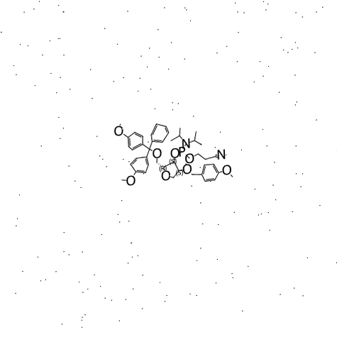 COc1ccc(CO[C@H]2CO[C@H](COC(c3ccccc3)(c3ccc(OC)cc3)c3ccc(OC)cc3)[C@H]2OP(OCCC#N)N(C(C)C)C(C)C)cc1